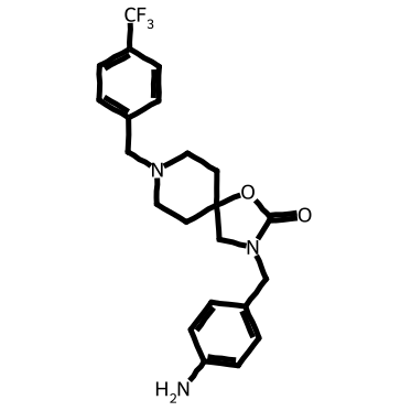 Nc1ccc(CN2CC3(CCN(Cc4ccc(C(F)(F)F)cc4)CC3)OC2=O)cc1